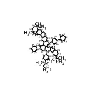 CC(C)(C)c1ccc(N2c3cc4c(oc5ccccc54)c4c3B(c3oc5ccc(C(C)(C)C)cc5c32)N(c2ccc(-c3ccccc3)cc2)c2cc3sc5cc6c(cc5c3cc2-4)C(C)(C)CCC6(C)C)cc1